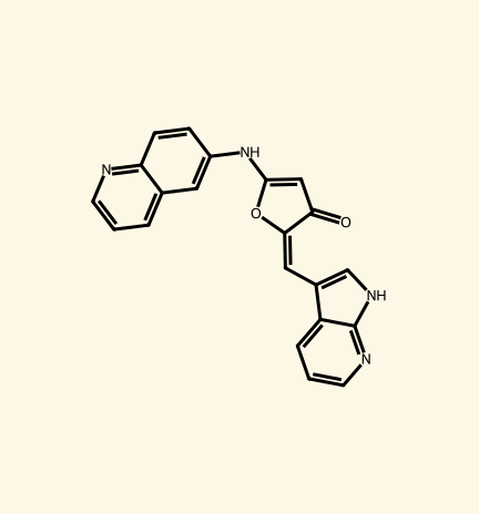 O=C1C=C(Nc2ccc3ncccc3c2)O/C1=C/c1c[nH]c2ncccc12